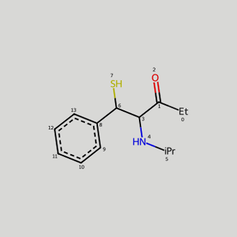 CCC(=O)C(NC(C)C)C(S)c1ccccc1